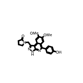 COc1cc2c(-c3ccc(O)cc3)nc3[nH]nc(CN4CCCC4=O)c3c2cc1OC